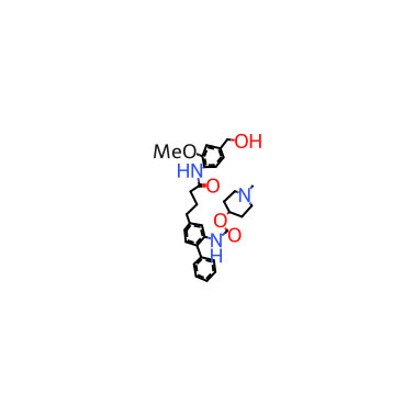 COc1cc(CO)ccc1NC(=O)CCCc1ccc(-c2ccccc2)c(NC(=O)OC2CCN(C)CC2)c1